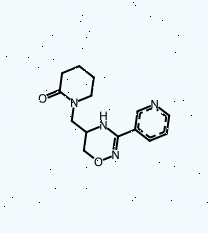 O=C1CCCCN1CC1CON=C(c2cccnc2)N1